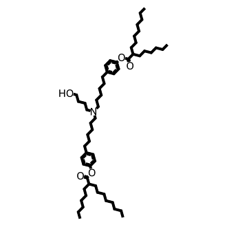 CCCCCCCCC(CCCCCC)C(=O)Oc1ccc(CCCCCCN(CCCCO)CCCCCCc2ccc(OC(=O)C(CCCCCC)CCCCCCCC)cc2)cc1